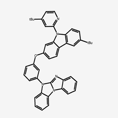 CC(C)(C)c1ccnc(-n2c3ccc(C(C)(C)C)cc3c3ccc(Oc4cccc(-n5c6ccccc6n6c7ccccc7nc56)c4)cc32)c1